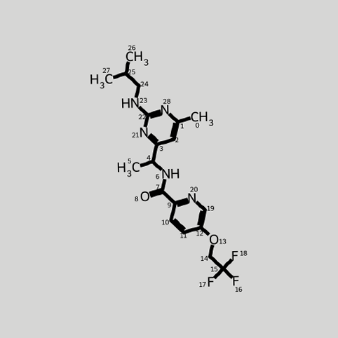 Cc1cc(C(C)NC(=O)c2ccc(OCC(F)(F)F)cn2)nc(NCC(C)C)n1